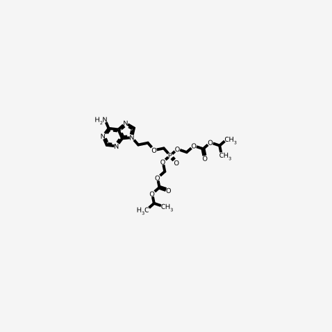 CC(C)OC(=O)OCOP(=O)(COCCn1cnc2c(N)ncnc21)OCOC(=O)OC(C)C